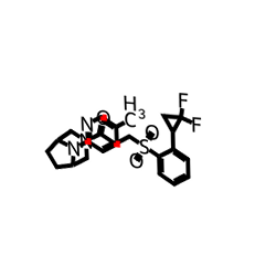 Cc1ccc(N2C3CCC2CN(C(=O)CCS(=O)(=O)c2ccccc2C2CC2(F)F)C3)nc1